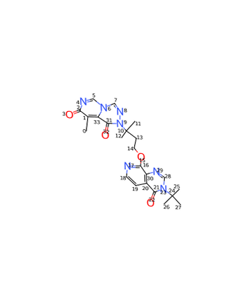 Cc1c(=O)ncn2cnn(C(C)(C)CCOc3nccc4c(=O)n(C(C)(C)C)cnc34)c(=O)c12